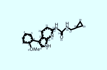 COc1ccccc1-c1c[nH]c2nc(NC(=O)NCC3CC3)ccc12